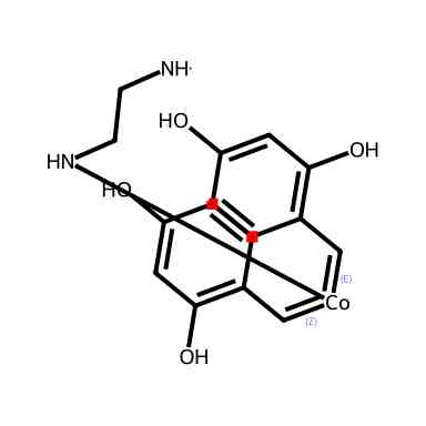 [NH]CC[NH]/[Co](=[CH]\c1ccc(O)cc1O)=[CH]/c1ccc(O)cc1O